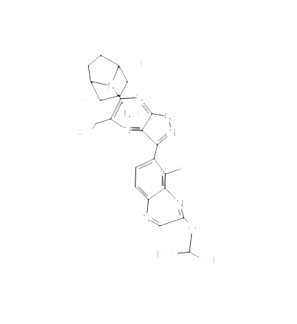 CC(C)Oc1cnc2ccc(-c3n[nH]c4nc(N5[C@H]6CC[C@@H]5[C@@H](F)[C@@H](N)C6)c(CO)nc34)c(Cl)c2n1